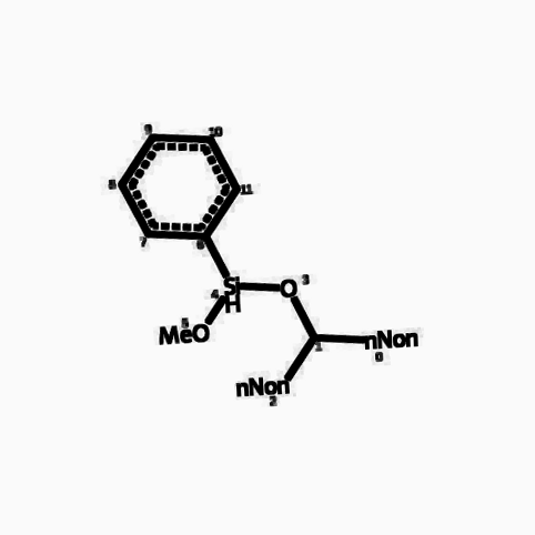 CCCCCCCCCC(CCCCCCCCC)O[SiH](OC)c1ccccc1